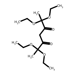 CCOC(C)(OCC)C(=O)CC(=O)C(C)(OCC)OCC